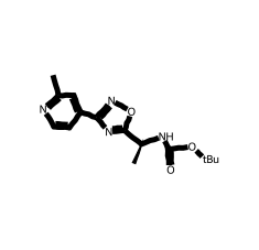 Cc1cc(-c2noc([C@H](C)NC(=O)OC(C)(C)C)n2)ccn1